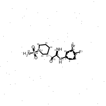 N=C(Nc1ccc(F)c(Br)c1)C(=O)[C@H]1CCCN(S(N)(=O)=O)C1